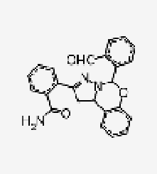 NC(=O)c1ccccc1C1=NN2C(C1)c1ccccc1OC2c1ccccc1C=O